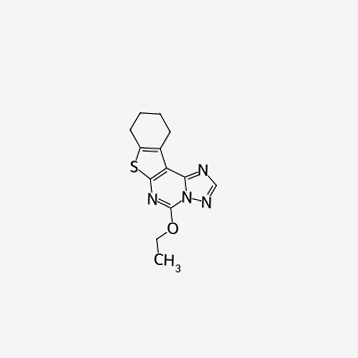 CCOc1nc2sc3c(c2c2ncnn12)CCCC3